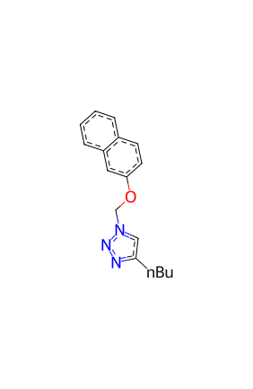 CCCCc1cn(COc2ccc3ccccc3c2)nn1